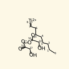 CCCCCCC[CH]=[Ti+2].O=C([O-])CO.O=C([O-])CO